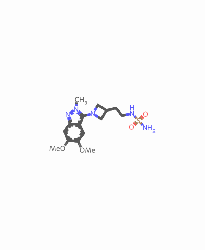 COc1cc2nn(C)c(N3CC(CCNS(N)(=O)=O)C3)c2cc1OC